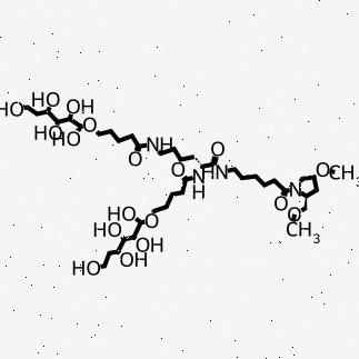 COC[C@@H]1C[C@@H](OC)CN1C(=O)CCCCCNC(=O)[C@@H](CCCCNC(=O)CCCCOC(O)C(O)C(O)C(O)CCO)NC(=O)CCCCOC(O)C(O)C(O)C(O)CCO